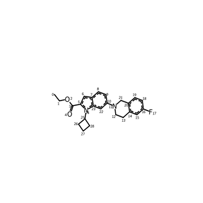 CCOC(=O)c1cc2ccc(N3CCc4cc(F)ccc4C3)cc2n1C1CCC1